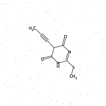 CC#CC1C(=O)N=C(SC)NC1=O